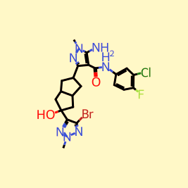 Cn1nc(Br)c(C2(O)CC3CC(c4nn(C)c(N)c4C(=O)Nc4ccc(F)c(Cl)c4)CC3C2)n1